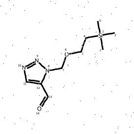 C[Si](C)(C)CCOCn1nncc1C=O